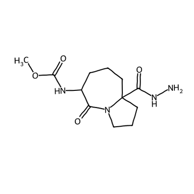 COC(=O)NC1CCCC2(C(=O)NN)CCCN2C1=O